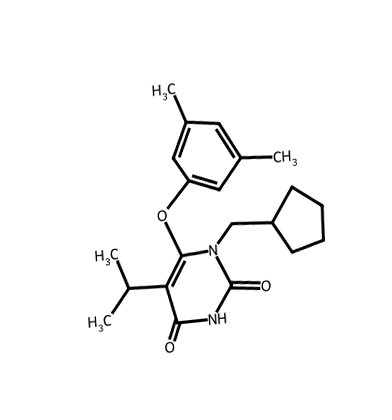 Cc1cc(C)cc(Oc2c(C(C)C)c(=O)[nH]c(=O)n2CC2CCCC2)c1